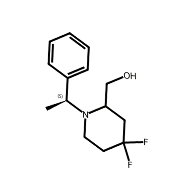 C[C@@H](c1ccccc1)N1CCC(F)(F)CC1CO